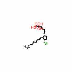 CCCCCC/C=C/[C@H]1[C@H](CBr)CC[C@@H]1C/C=C\CCC(O)(O)C(=O)O